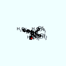 C=C(OCC)c1c([C@H]2C[C@@H]3CC[C@@H](C3)C2)nc2c(-c3ccc(-c4ccn(C)n4)nc3)cnn2c1N(COCC[Si](C)(C)C)COCC[Si](C)(C)C